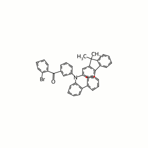 CC1(C)c2ccccc2-c2ccc(N(c3cccc(C(=O)c4ccccc4Br)c3)c3ccccc3-c3ccccc3)cc21